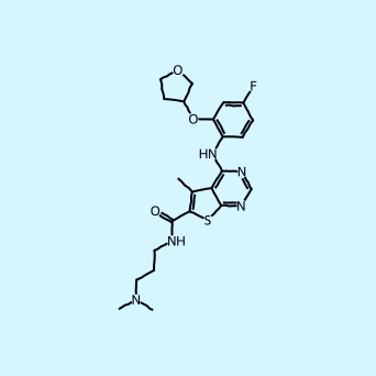 Cc1c(C(=O)NCCCN(C)C)sc2ncnc(Nc3ccc(F)cc3OC3CCOC3)c12